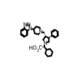 O=C(O)[C@@H](C1CCCCC1)N1C[C@H](CN2CCC(n3nnc4ccccc43)CC2)[C@@H](c2ccccc2)C1